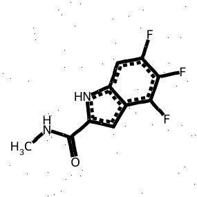 CNC(=O)c1cc2c(F)c(F)c(F)cc2[nH]1